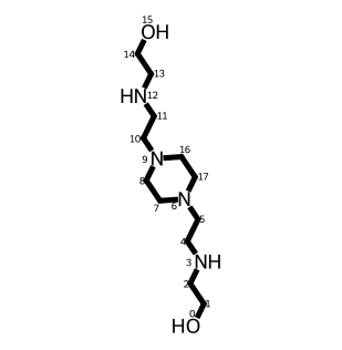 OCCNCCN1CCN(CCNCCO)CC1